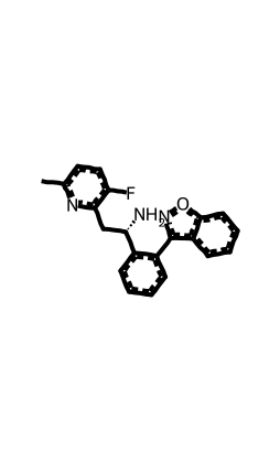 Cc1ccc(F)c(C[C@H](N)c2ccccc2-c2noc3ccccc23)n1